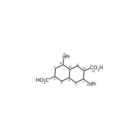 CCCC1CC2CC(C(=O)O)CC(CCC)C2CC1C(=O)O